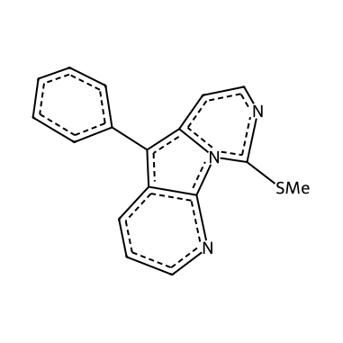 CSc1nccc2c(-c3ccccc3)c3cccnc3n12